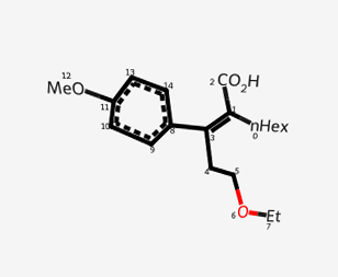 CCCCCCC(C(=O)O)=C(CCOCC)c1ccc(OC)cc1